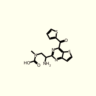 CN(CC(N)c1nc(C(=O)c2cccs2)c2sccc2n1)C(=O)O